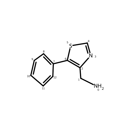 NCc1ncsc1-c1ccccc1